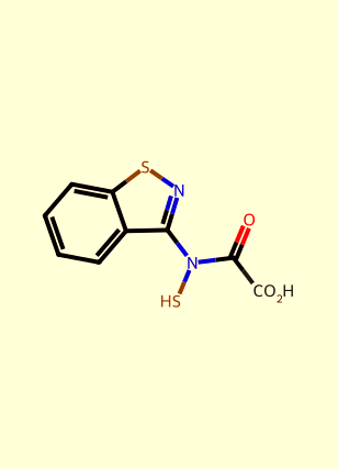 O=C(O)C(=O)N(S)c1nsc2ccccc12